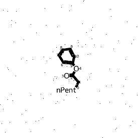 CCCCCCC(=O)Oc1cc[c]cc1